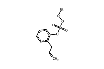 C=CCc1ccccc1OS(=O)(=O)OOCC